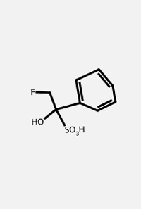 O=S(=O)(O)C(O)(CF)c1ccccc1